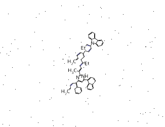 C=C/C=C\C(=C/C/C(=C/C=C(\C)C1=NC(C(/C=C\C=C)=C2\C=CC=CC2)=C[C@H](c2cccc3ccccc23)N1)CC)C/C=C\C(=C/CC)n1c2ccccc2c2ccccc21